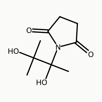 CC(C)(O)C(C)(O)N1C(=O)CCC1=O